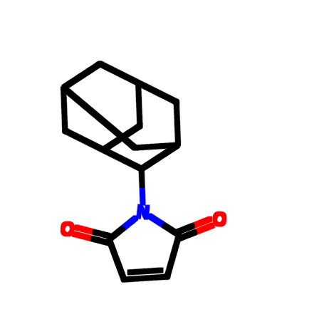 O=C1C=CC(=O)N1C1C2CC3CC(C2)CC1C3